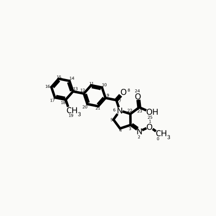 CO/N=C1/CCN(C(=O)c2ccc(-c3ccccc3C)cc2)C1C(=O)O